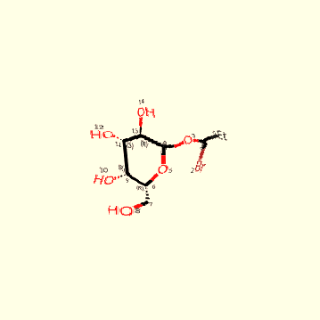 CCC(Br)OC1O[C@H](CO)[C@H](O)[C@H](O)[C@H]1O